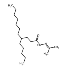 CCCCCCCC(CCCCC)CCC(=O)NN=C(C)C